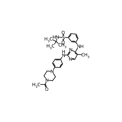 CC(=O)N1CCN(c2ccc(Nc3ncc(C)c(Nc4cccc(S(=O)(=O)NC(C)(C)C)c4)n3)cc2)CC1